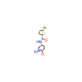 CCn1cc(NC(=O)c2ccc(Br)s2)ccc1=O